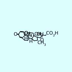 C[C@H]1C[C@H]2[C@@H]3CCC4=CC(=O)C=C[C@]4(C)[C@@]34O[C@H]4C[C@]2(C)[C@@]1(O)C(=O)CCC(=O)O